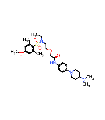 CCN(CCOCC(=O)Nc1ccc(N2CCC(N(C)C)CC2)cc1)S(=O)(=O)c1c(C)cc(OC)cc1C